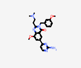 COc1cccc(Cn2c(CCN(C)C)nc3c(OC)cc(-c4ccnc(N)n4)cc3c2=O)c1